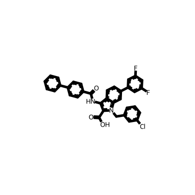 O=C(Nc1c(C(=O)O)n(Cc2cccc(Cl)c2)c2cc(-c3cc(F)cc(F)c3)ccc12)c1ccc(-c2ccccc2)cc1